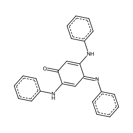 O=C1C=C(Nc2ccccc2)/C(=N/c2ccccc2)C=C1Nc1ccccc1